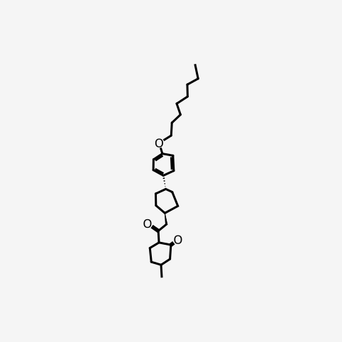 CCCCCCCCOc1ccc([C@H]2CC[C@H](CC(=O)C3CCC(C)CC3=O)CC2)cc1